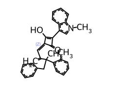 C=C(/C=C1\C(=O)C(c2cn(C)c3ccccc23)=C1O)C(C)(Cc1ccccc1)c1ccccc1C